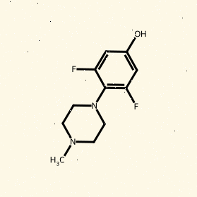 CN1CCN(c2c(F)cc(O)cc2F)CC1